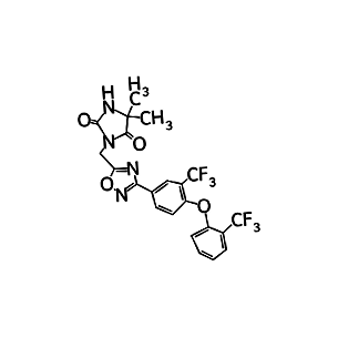 CC1(C)NC(=O)N(Cc2nc(-c3ccc(Oc4ccccc4C(F)(F)F)c(C(F)(F)F)c3)no2)C1=O